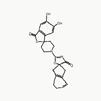 O=C1OC2(CCN(C3=NC(=O)C4(CC5=C(CCC=C5)C4)O3)CC2)c2cc(O)c(O)cc21